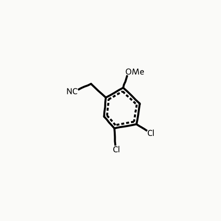 COc1cc(Cl)c(Cl)cc1CC#N